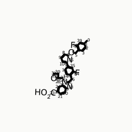 Cc1ccc(COc2cccc(-c3ccc(Cc4nc5ccc(C(=O)O)cc5n4C[C@]4(C)CCO4)c(F)c3)n2)c(F)c1